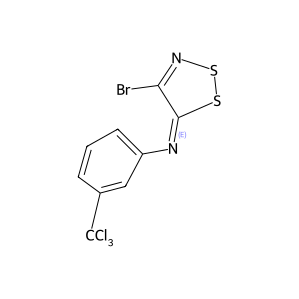 ClC(Cl)(Cl)c1cccc(/N=c2/ssnc2Br)c1